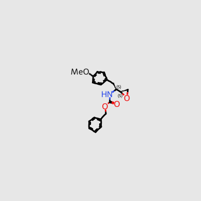 COc1ccc(C[C@H](NC(=O)OCc2ccccc2)[C@H]2CO2)cc1